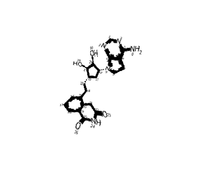 Nc1ncnc2c1ccn2[C@@H]1C[C@H](CCc2cccc3c2CC(=O)NC3=O)[C@@H](O)[C@H]1O